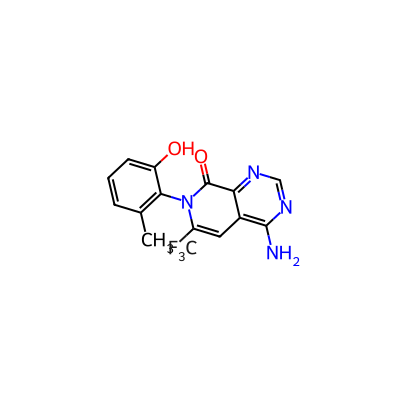 Cc1cccc(O)c1-n1c(C(F)(F)F)cc2c(N)ncnc2c1=O